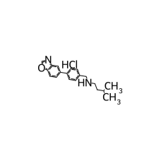 CC(C)CCNCc1ccc(-c2ccc3ocnc3c2)cc1.Cl